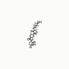 O=C1CCC(N2Cc3cc(-c4nccc(CN5CC6(CC(O)C6)C5)c4F)ccc3C2=O)C(=O)N1